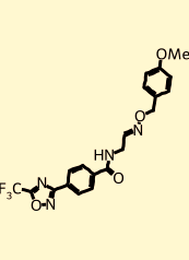 COc1ccc(CON=CCNC(=O)c2ccc(-c3noc(C(F)(F)F)n3)cc2)cc1